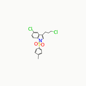 Cc1ccc(S(=O)(=O)n2cc(CCCCl)c3cc(Cl)ccc32)cc1